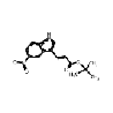 CC(C)(C)OC(=O)/C=C/c1c[nH]c2ccc([N+](=O)[O-])cc12